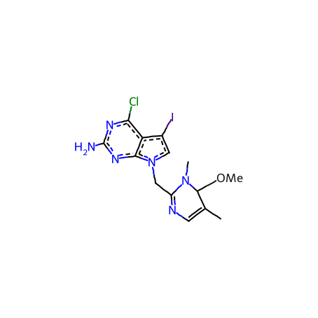 COC1C(C)=CN=C(Cn2cc(I)c3c(Cl)nc(N)nc32)N1C